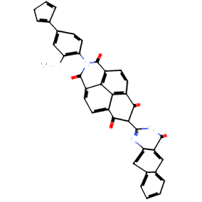 COc1cc(C2=CCC=C2)ccc1N1C(=O)c2ccc3c4c(ccc(c24)C1=O)C(=O)C(c1nc2cc4ccccc4cc2c(=O)[nH]1)C3=O